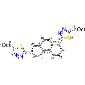 CCCCCCCCc1nnc(-c2ccc3c(ccc4c(-c5nnc(CCCCCCCC)s5)cccc43)c2)s1